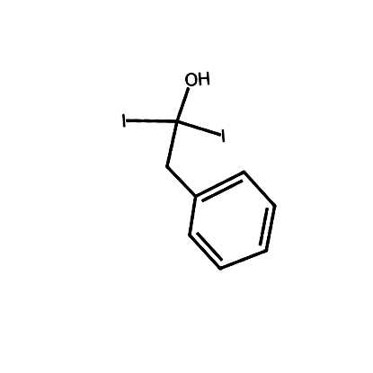 OC(I)(I)Cc1ccccc1